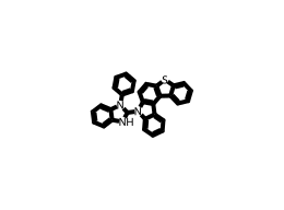 c1ccc(N2c3ccccc3NC2n2c3ccccc3c3c4c(ccc32)sc2ccccc24)cc1